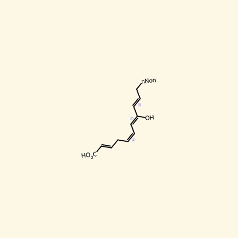 CCCCCCCCCC/C=C/C(O)=C/C=C\CC=CC(=O)O